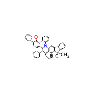 CC1(C)c2ccccc2-c2cc(N(c3ccccc3-c3cccc4c3OC3C=CC=CC43)c3ccc4ccccc4c3-c3ccccc3)ccc21